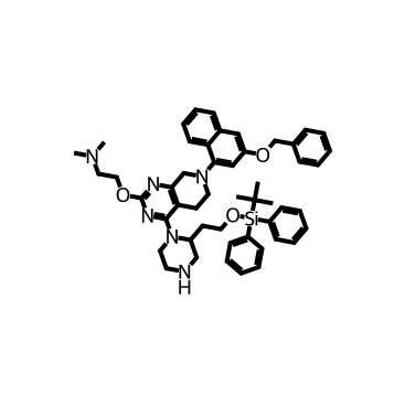 CN(C)CCOc1nc2c(c(N3CCNCC3CCO[Si](c3ccccc3)(c3ccccc3)C(C)(C)C)n1)CCN(c1cc(OCc3ccccc3)cc3ccccc13)C2